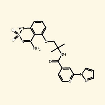 CC(C)(COc1cccc2c1C(N)=NS(=O)(=O)N2)NC(=O)c1ccnc(-n2cccn2)c1